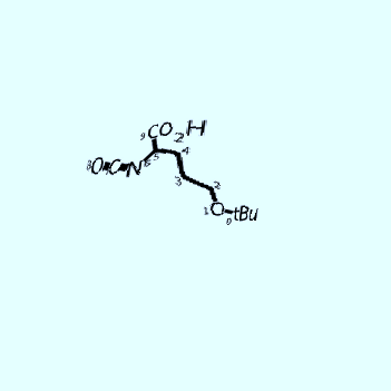 CC(C)(C)OCCCC(N=C=O)C(=O)O